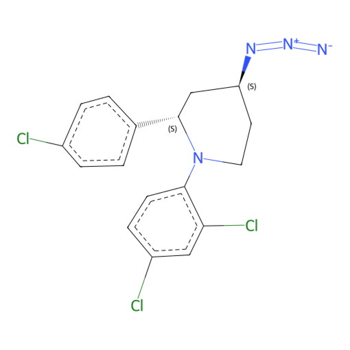 [N-]=[N+]=N[C@H]1CCN(c2ccc(Cl)cc2Cl)[C@H](c2ccc(Cl)cc2)C1